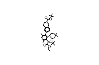 CCOC(=O)[C@@H](OC(C)(C)C)c1c(C)nc(C)c(-c2ccc3c(c2)CCN(C(=O)OC(C)(C)C)C3)c1N1CCC(C)(C)CC1